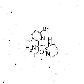 NC(CF)(C[S@@]1(=O)=NCCCCN1)c1nc(Br)ccc1F